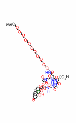 CCC(=O)O[C@]1(C(=O)COCNC(=O)CNC(=O)[C@H](C)NC(=O)[C@H](CCC(=O)O)NC(=O)[C@H](CCC(=O)NCCOCCOCCOCCOCCOCCOCCOCCOCCOCCOCCOCCOC)NC(=O)CCN2C(=O)C=CC2=O)[C@@H](C)C[C@H]2[C@@H]3CCC4=CC(=O)C=C[C@]4(C)[C@@]3(Cl)[C@@H](O)C[C@@]21C